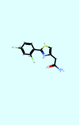 NC(=O)Cc1csc(-c2ccc(F)cc2F)n1